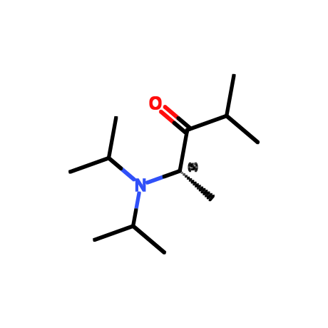 CC(C)C(=O)[C@H](C)N(C(C)C)C(C)C